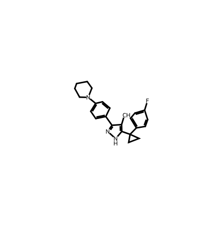 Cc1c(-c2ccc(N3CCCCC3)cc2)n[nH]c1C1(c2ccc(F)cc2)CC1